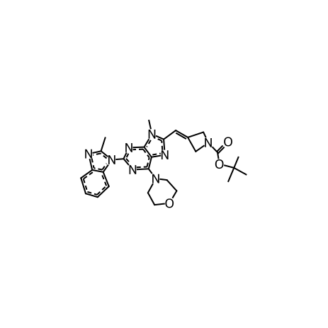 Cc1nc2ccccc2n1-c1nc(N2CCOCC2)c2nc(C=C3CN(C(=O)OC(C)(C)C)C3)n(C)c2n1